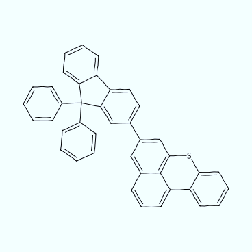 c1ccc(C2(c3ccccc3)c3ccccc3-c3ccc(-c4cc5c6c(cccc6c4)-c4ccccc4S5)cc32)cc1